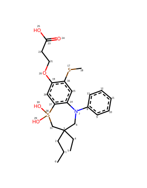 CCCC1(CC)CN(c2ccccc2)c2cc(SC)c(OCCC(=O)O)cc2S(O)(O)C1